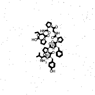 CC[C@H](C)[C@H](NC(=O)[C@@H]1CCCN1C(=O)CNC(=O)[C@@H]1CCCN1C(=O)[C@H](Cc1ccccc1)NC(=O)[C@@H]1CCCN1C(=O)[C@H](Cc1ccc(O)cc1)NC(=O)[C@@H](N)C(C)C)C(=O)N1CCC[C@H]1C(=O)O